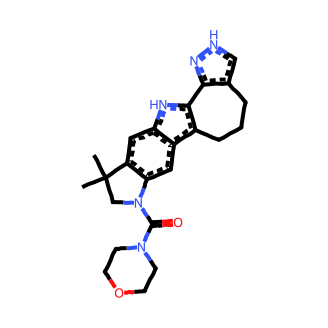 CC1(C)CN(C(=O)N2CCOCC2)c2cc3c4c([nH]c3cc21)-c1n[nH]cc1CCC4